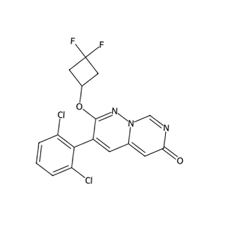 O=c1cc2cc(-c3c(Cl)cccc3Cl)c(OC3CC(F)(F)C3)nn2cn1